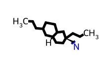 CCCC1CCC2C[C@](C#N)(CCC)CC[C@@H]2C1